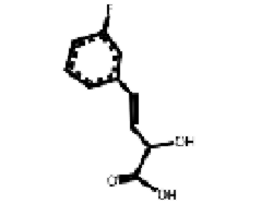 O=C(O)C(O)/C=C/c1cccc(F)c1